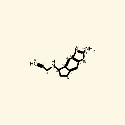 C#CCNC1CCc2cc3sc(N)nc3cc21